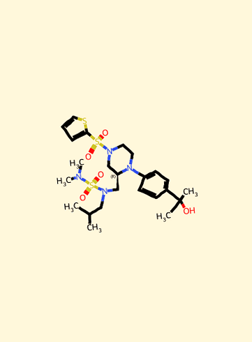 CC(C)CN(C[C@H]1CN(S(=O)(=O)c2cccs2)CCN1c1ccc(C(C)(C)O)cc1)S(=O)(=O)N(C)C